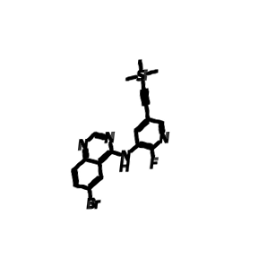 C[Si](C)(C)C#Cc1cnc(F)c(Nc2ncnc3ccc(Br)cc23)c1